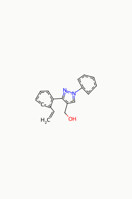 C=Cc1ccccc1-c1nn(-c2ccccc2)cc1CO